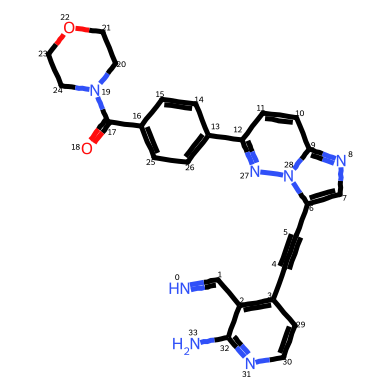 N=Cc1c(C#Cc2cnc3ccc(-c4ccc(C(=O)N5CCOCC5)cc4)nn23)ccnc1N